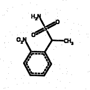 CC(c1ccccc1[N+](=O)[O-])S(N)(=O)=O